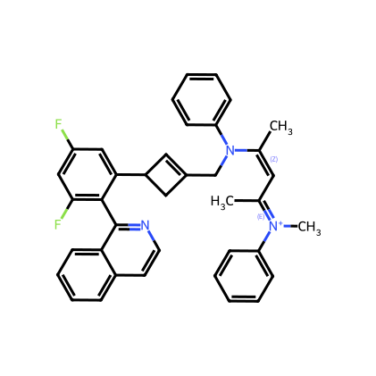 C/C(=C/C(C)=[N+](\C)c1ccccc1)N(CC1=CC(c2cc(F)cc(F)c2-c2nccc3ccccc23)C1)c1ccccc1